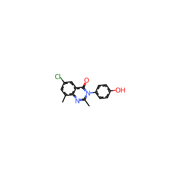 Cc1cc(Cl)cc2c(=O)n(-c3ccc(O)cc3)c(C)nc12